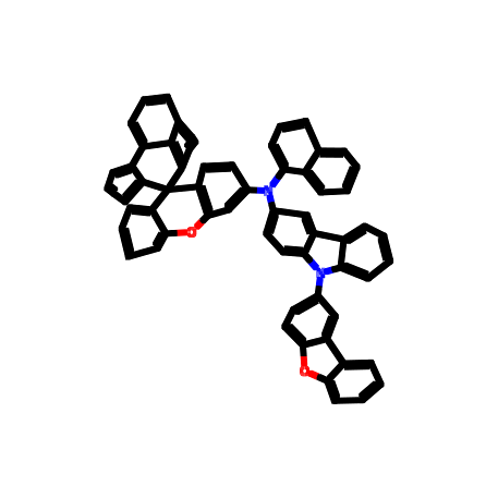 c1ccc2c(c1)Oc1cc(N(c3ccc4c(c3)c3ccccc3n4-c3ccc4oc5ccccc5c4c3)c3cccc4ccccc34)ccc1C21c2ccccc2-c2cccc3cccc1c23